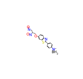 BN(C)c1ccc(-c2nc3ccc(OCC(CN=O)N=O)cc3s2)cc1